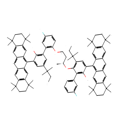 C[C@H](C[C@H](C)Oc1c(C(C)(C)CC(C)(C)C)cc(-c2c3cc4c(cc3cc3cc5c(cc23)C(C)(C)CCC5(C)C)C(C)(C)CCC4(C)C)c(O)c1-c1cccc(F)c1)Oc1ccc(F)cc1-c1cc(C(C)(C)CC(C)(C)C)cc(-c2c3cc4c(cc3cc3cc5c(cc23)C(C)(C)CCC5(C)C)C(C)(C)CCC4(C)C)c1O